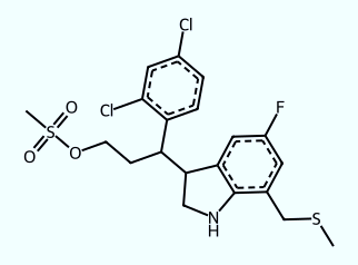 CSCc1cc(F)cc2c1NCC2C(CCOS(C)(=O)=O)c1ccc(Cl)cc1Cl